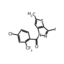 Cc1cc2c(s1)c(I)nn2C(=O)c1ccc(Cl)cc1C(F)(F)F